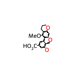 COc1c2c(cc3occ4c(=O)cc(C(=O)O)cc-4c13)OCCC2